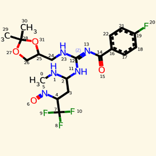 CNC(CC(N=O)C(F)(F)F)N/C(=N\C(=O)c1ccc(F)cc1)NCC1COC(C)(C)O1